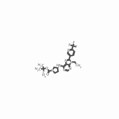 CCn1c(-c2ccc(C(F)(F)F)nc2)nc2c(N[C@@H]3CCN(C(=O)OC(C)(C)C)C3)ncnc21